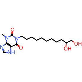 Cn1c(=O)n(CCCCCCCCCC(O)CO)c(=O)c2[nH]cnc21